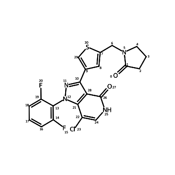 O=C1CCCN1Cc1cc(-c2nn(-c3c(F)cccc3F)c3c(Cl)c[nH]c(=O)c23)cs1